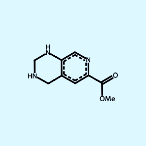 COC(=O)c1cc2c(cn1)NCNC2